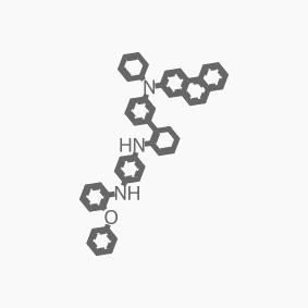 C1=CCC(N(c2cccc(C3=C(Nc4ccc(Nc5ccccc5Oc5ccccc5)cc4)C=CCC3)c2)c2ccc3c(ccc4ccccc43)c2)C=C1